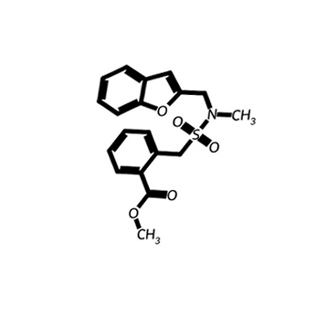 COC(=O)c1ccccc1CS(=O)(=O)N(C)Cc1cc2ccccc2o1